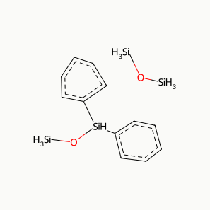 [SiH3]O[SiH3].[SiH3]O[SiH](c1ccccc1)c1ccccc1